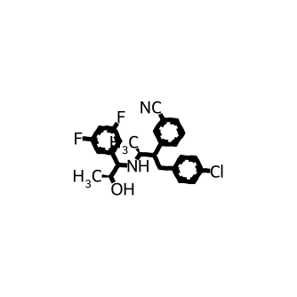 C[C@H](O)C(N[C@@H](C)C(Cc1ccc(Cl)cc1)c1cccc(C#N)c1)c1cc(F)cc(F)c1